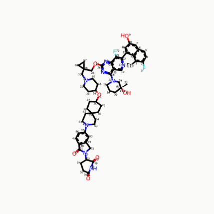 CCc1c(F)ccc2cc(O)cc(-c3ncc4c(N5CCC[C@@](C)(O)C5)nc(OCC5(CN6CCC(OC7CCC8(CC7)CCN(c7ccc9c(c7)CN(C7CCC(=O)NC7=O)C9=O)CC8)CC6)CC5)nc4c3F)c12